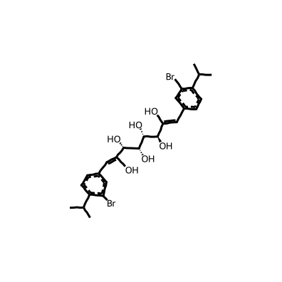 CC(C)c1ccc(C=C(O)[C@@H](O)[C@@H](O)[C@H](O)[C@@H](O)C(O)=Cc2ccc(C(C)C)c(Br)c2)cc1Br